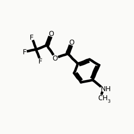 CNc1ccc(C(=O)OC(=O)C(F)(F)F)cc1